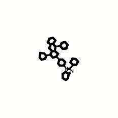 c1ccc(-c2cc(-c3ccc(-n4c(-c5ccccc5)nc5ccccc54)cc3)cc3c(-c4ccccc4)c4ccccc4cc23)cc1